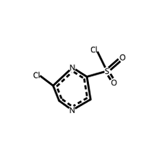 O=S(=O)(Cl)c1cncc(Cl)n1